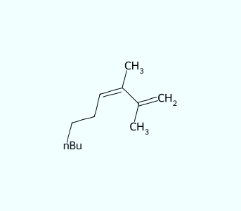 C=C(C)C(C)=CCCCCCC